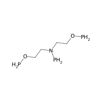 POCCN(P)CCOP